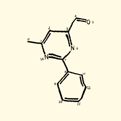 Cc1cc(C=O)nc(-c2ccccc2)n1